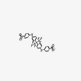 O=[N+]([O-])c1ccc(Sc2ccc(C(c3ccc(Sc4ccc([N+](=O)[O-])cc4)cc3)(C(F)(F)F)C(F)(F)F)cc2)cc1